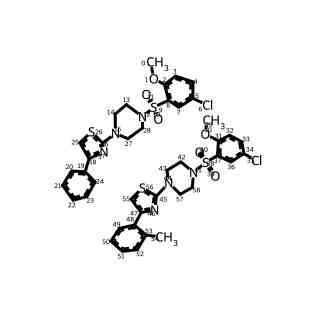 COc1ccc(Cl)cc1S(=O)(=O)N1CCN(c2nc(-c3ccccc3)cs2)CC1.COc1ccc(Cl)cc1S(=O)(=O)N1CCN(c2nc(-c3ccccc3C)cs2)CC1